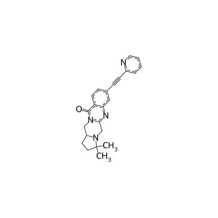 CC1(C)CCC2Cn3c(nc4cc(C#Cc5ccccn5)ccc4c3=O)CN21